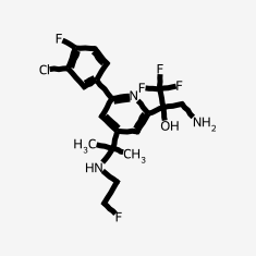 CC(C)(NCCF)c1cc(-c2ccc(F)c(Cl)c2)nc(C(O)(CN)C(F)(F)F)c1